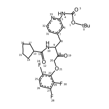 CC(C)(C)OC(=O)Nc1cc(CC(NC(=O)C2CCCC2)C(=O)COc2c(F)ccc(F)c2F)ccn1